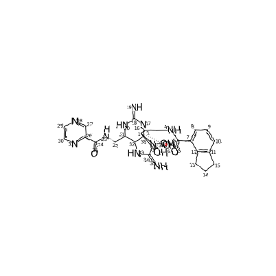 C[C@]1(O)C(NC(=O)c2cccc3c2CCC3)CN2C(=N)NC(CNC(=O)c3cnccn3)C3NC(=N)N(O)C321